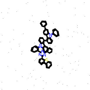 c1ccc(-c2ccc3c4c(-c5cccc6c5c5ccccc5n6-c5ccccc5-c5nc(-c6ccccc6)nc(-c6cccc7c6sc6ccccc67)n5)cccc4n(-c4ccccc4)c3c2)cc1